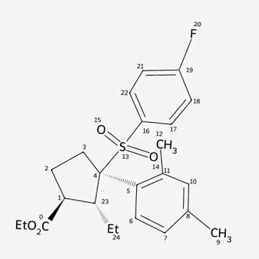 CCOC(=O)[C@H]1CC[C@@](c2ccc(C)cc2C)(S(=O)(=O)c2ccc(F)cc2)[C@@H]1CC